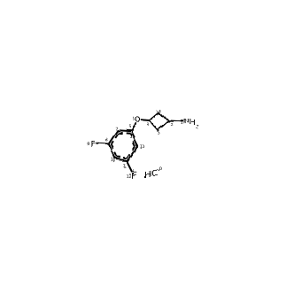 Cl.NC1CC(Oc2cc(F)cc(F)c2)C1